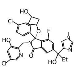 CCC(O)(c1cc(F)c2c(c1)C(=O)N(Cc1ncc(Cl)cc1O)[C@@]2(OC1CC(O)C1)c1ccc(Cl)cc1)c1cn(C)cn1